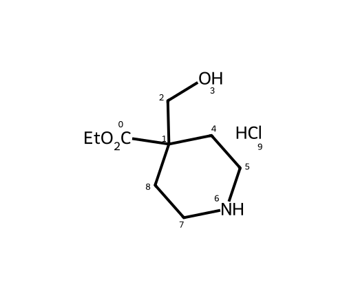 CCOC(=O)C1(CO)CCNCC1.Cl